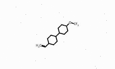 C=CC1CCC(C2CCC(OC(F)(F)F)CC2)CC1